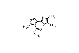 COC(=O)c1c(-c2nc(C)c(C)s2)cnn1C